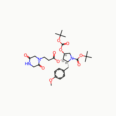 COc1ccc(C[C@@H]2[C@H](OC(=O)CCN3CC(=O)NCC3=O)[C@@H](OC(=O)OC(C)(C)C)CN2C(=O)OC(C)(C)C)cc1